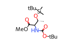 COC(=O)[C@H](NC(=O)OC(C)(C)C)[C@@H](C)O[Si](C)(C)C(C)(C)C